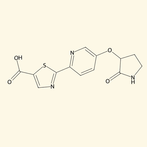 O=C(O)c1cnc(-c2ccc(OC3CCNC3=O)cn2)s1